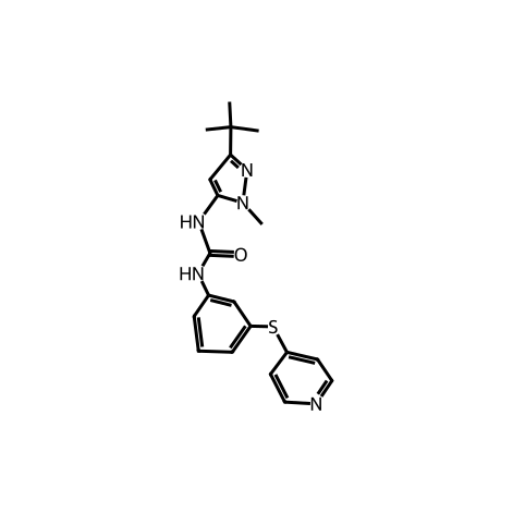 Cn1nc(C(C)(C)C)cc1NC(=O)Nc1cccc(Sc2ccncc2)c1